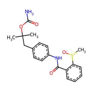 C[S+]([O-])c1ccccc1C(=O)Nc1ccc(CC(C)(C)OC(N)=O)cc1